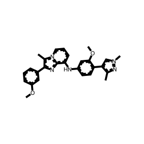 COc1cccc(-c2nc3c(Nc4ccc(-c5cn(C)nc5C)c(OC)c4)cccn3c2C)c1